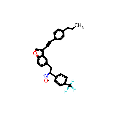 CCCc1ccc(C#Cc2coc3ccc(CC([N][O])c4ccc(C(F)(F)F)cc4)cc23)cc1